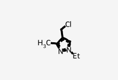 CCn1cc(CCl)c(C)n1